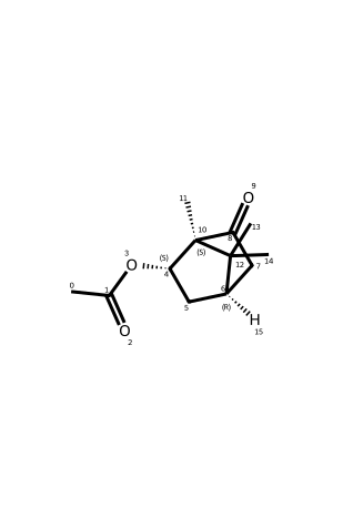 CC(=O)O[C@H]1C[C@@H]2CC(=O)[C@@]1(C)C2(C)C